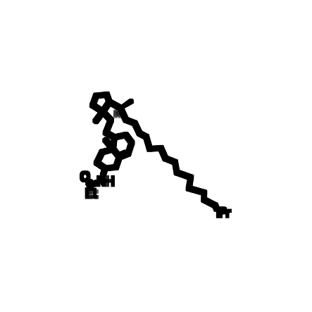 CCC(=O)NC1CCC2(C)C(=CCCC2CCC2(C)CCCC2[C@@H](C)CCCCCCCCCCCCCCC(C)C)C1